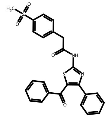 CS(=O)(=O)c1ccc(CC(=O)Nc2nc(-c3ccccc3)c(C(=O)c3ccccc3)s2)cc1